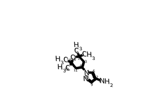 CC1(C)CC(n2cc(N)cn2)CC(C)(C)O1